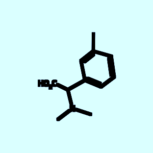 Cc1cccc(C(C(=O)O)N(C)C)c1